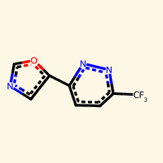 FC(F)(F)c1ccc(-c2cnco2)nn1